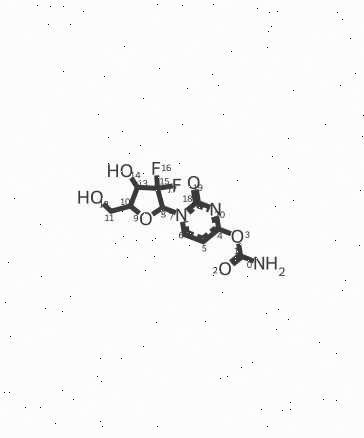 NC(=O)Oc1ccn(C2OC(CO)C(O)C2(F)F)c(=O)n1